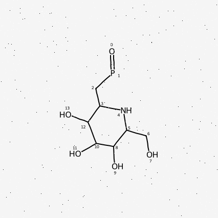 O=PCC1NC(CO)C(O)C(O)C1O